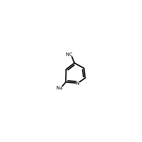 N#Cc1ccn[c]([Na])c1